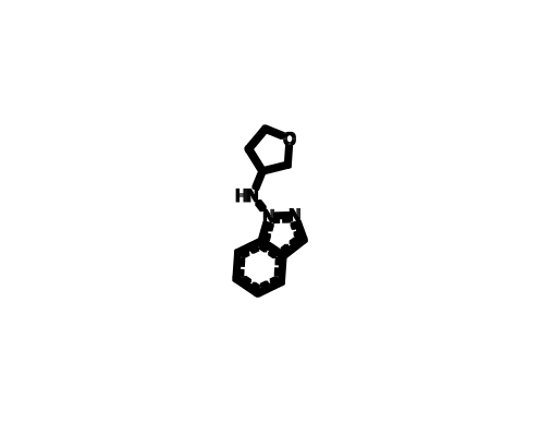 c1ccc2c(c1)cnn2NC1CCOC1